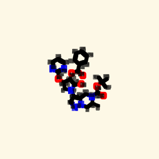 C[C@H]1Cn2ncc(N3C[C@@H](Oc4ncccn4)[C@H](OC(=O)c4ccccc4)C3=O)c2CN1C(=O)OC(C)(C)C